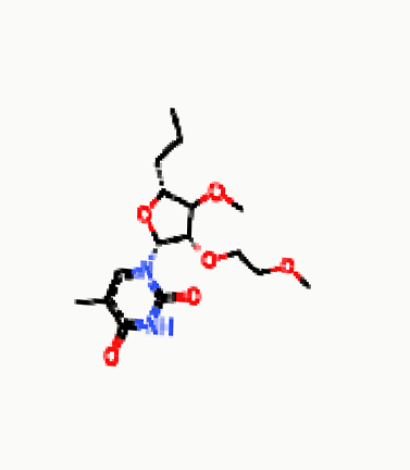 CCC[C@H]1O[C@@H](n2cc(C)c(=O)[nH]c2=O)[C@@H](OCCOC)C1OC